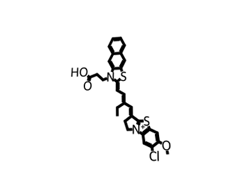 CCC(=C\C=C1/Sc2cc3ccccc3cc2N1CCC(=O)O)/C=C1\CC[n+]2c1sc1cc(OC)c(Cl)cc12